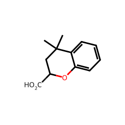 CC1(C)CC(C(=O)O)Oc2ccccc21